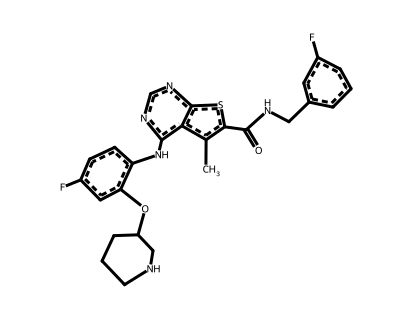 Cc1c(C(=O)NCc2cccc(F)c2)sc2ncnc(Nc3ccc(F)cc3OC3CCCNC3)c12